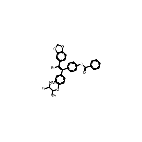 CCCC(Oc1ccc(C(=C(CC)c2ccc3c(c2)OCO3)c2ccc(OC(=O)c3ccccc3)cc2)cc1)C(CC)NC